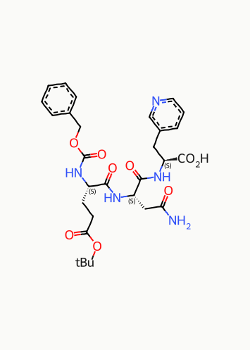 CC(C)(C)OC(=O)CC[C@H](NC(=O)OCc1ccccc1)C(=O)N[C@@H](CC(N)=O)C(=O)N[C@@H](Cc1cccnc1)C(=O)O